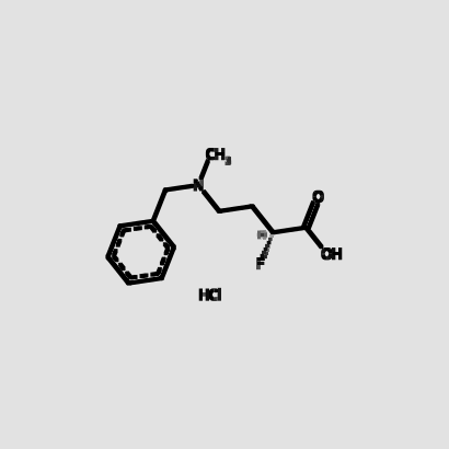 CN(CC[C@@H](F)C(=O)O)Cc1ccccc1.Cl